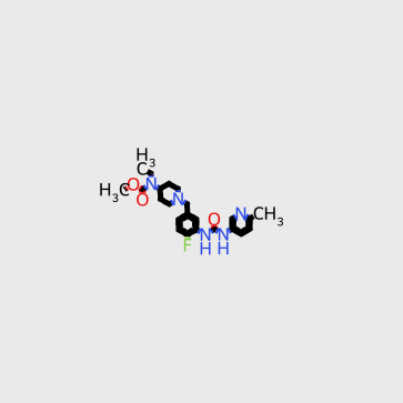 CCN(C(=O)OC)C1CCN(Cc2ccc(F)c(NC(=O)Nc3ccc(C)nc3)c2)CC1